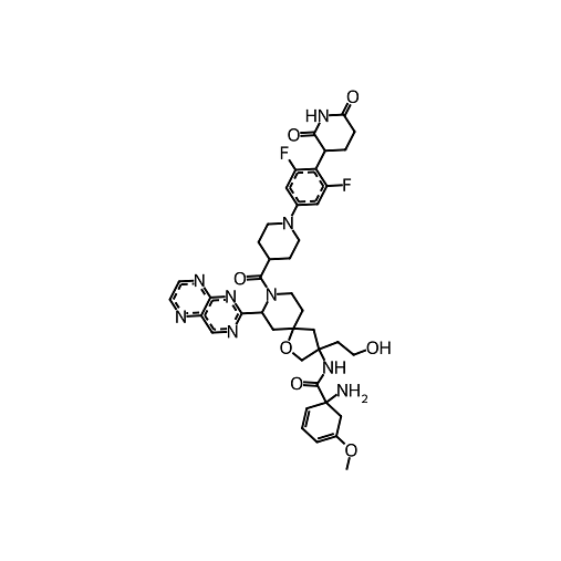 COC1=CC=CC(N)(C(=O)NC2(CCO)COC3(CCN(C(=O)C4CCN(c5cc(F)c(C6CCC(=O)NC6=O)c(F)c5)CC4)C(c4ncc5nccnc5n4)C3)C2)C1